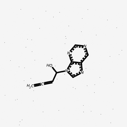 C=C=CC(O)n1cnc2cncnc21